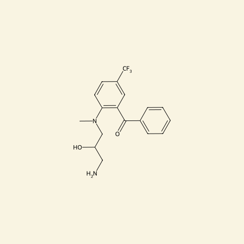 CN(CC(O)CN)c1ccc(C(F)(F)F)cc1C(=O)c1ccccc1